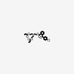 C=CC(=O)OCCN(CCOC(=O)C=C)CCOC(=O)c1ccccc1C(=O)c1ccc(Cl)cc1